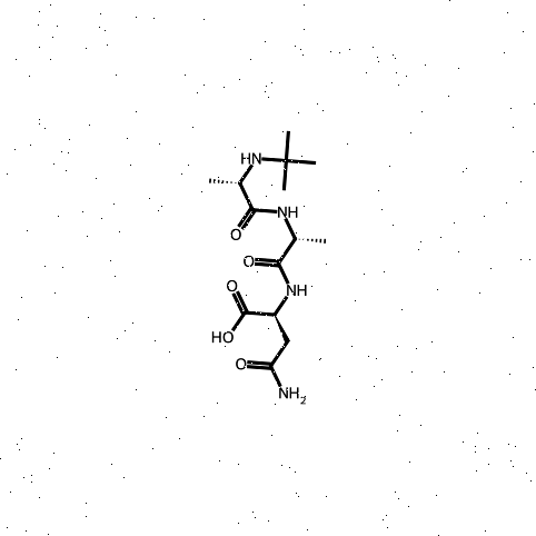 C[C@H](NC(C)(C)C)C(=O)N[C@H](C)C(=O)N[C@@H](CC(N)=O)C(=O)O